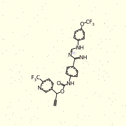 C#CC(OC(=O)Nc1ccc(C(=N)/N=C\Nc2ccc(OC(F)(F)F)cc2)cc1)c1ccc(C(F)(F)F)nc1